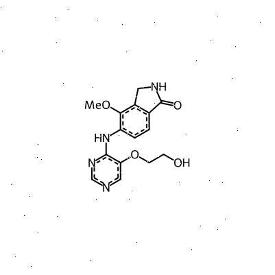 COc1c(Nc2ncncc2OCCO)ccc2c1CNC2=O